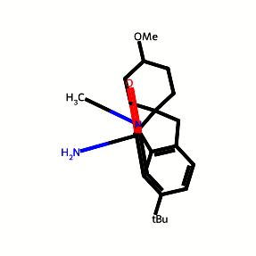 COC1CCC2(CC1)Cc1ccc(C(C)(C)C)cc1C21N=C(N)N(C)C1=O